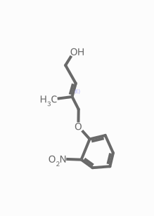 C/C(=C\CO)COc1ccccc1[N+](=O)[O-]